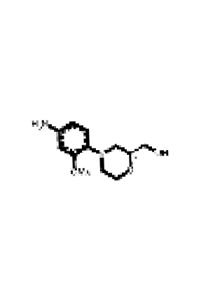 COc1cc(N)ccc1N1CCO[C@H](CO)C1